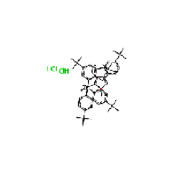 Cl.Cl.[CH2]=[Zr]([C]1=C(CC)C(C(C)(C)C)=CC1C)([c]1ccc(C(C)(C)C)cc1)([c]1ccc(C(C)(C)C)cc1)[c]1cc(C(C)(C)C)cc2c1Cc1ccc(C(C)(C)C)cc1-2